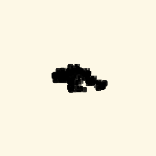 COc1cccc2c1C(=O)c1c(O)c3c(c(O)c1C2=O)C[C@](O)(/C(CO)=N/NC(=O)c1ccc(NC(=O)[C@H]2CCCN2C(=O)[C@H](CS(=O)(=O)O)NC(=O)CCCCCN2C(=O)C=CC2=O)cc1[N+](=O)[O-])C[C@H]3C[C@H]1C[C@H](N2CCO[C@@H](OC)C2)[C@H](O)[C@H](C)O1